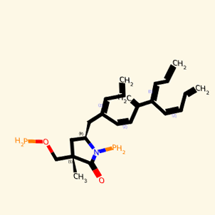 C=C/C=C\C(=C/C=C)C(=C)/C=C\C(=C/C=C)C[C@@H]1C[C@@](C)(COP)C(=O)N1P